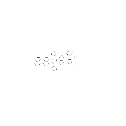 Cc1ccc(N(c2ccc(C)cc2C)c2ccc3c4c(-c5ccccc5)c5c6ccc7c8cccc9cccc(c%10ccc(c5c(-c5ccccc5)c4c4cccc2c43)c6c%107)c98)c(C)c1